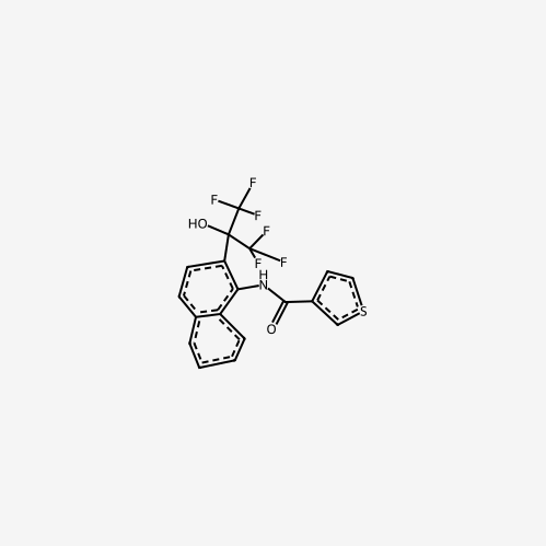 O=C(Nc1c(C(O)(C(F)(F)F)C(F)(F)F)ccc2ccccc12)c1ccsc1